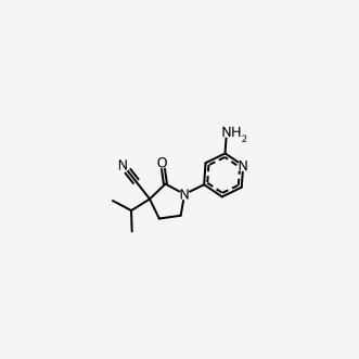 CC(C)C1(C#N)CCN(c2ccnc(N)c2)C1=O